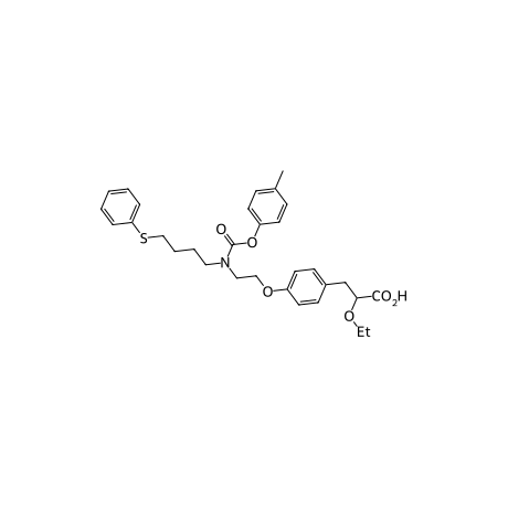 CCOC(Cc1ccc(OCCN(CCCCSc2ccccc2)C(=O)Oc2ccc(C)cc2)cc1)C(=O)O